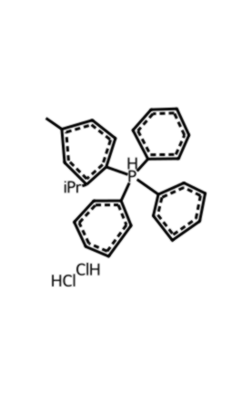 Cc1ccc([PH](c2ccccc2)(c2ccccc2)c2ccccc2)c(C(C)C)c1.Cl.Cl